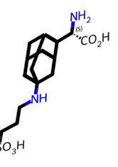 N[C@H](C(=O)O)C1C2CC3CC1CC(NCCCS(=O)(=O)O)(C3)C2